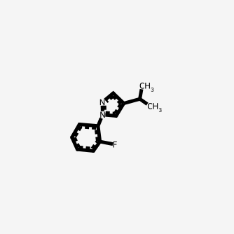 CC(C)c1cnn(-c2ccccc2F)c1